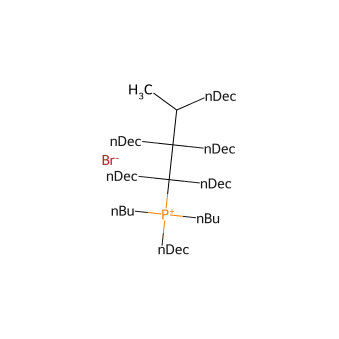 CCCCCCCCCCC(C)C(CCCCCCCCCC)(CCCCCCCCCC)C(CCCCCCCCCC)(CCCCCCCCCC)[P+](CCCC)(CCCC)CCCCCCCCCC.[Br-]